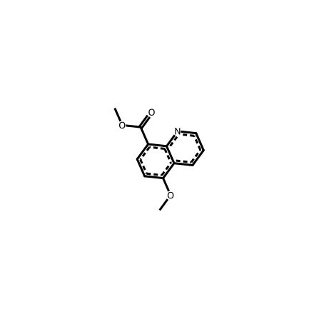 COC(=O)c1ccc(OC)c2cccnc12